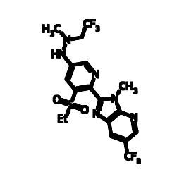 CCS(=O)(=O)c1cc(NN(C)CC(F)(F)F)cnc1-c1nc2cc(C(F)(F)F)cnc2n1C